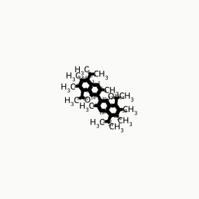 Cc1cc2c(C(C)C)c(C)c(C)c3c2c(c1-c1c(C)cc2c(C(C)C)c(C)c(C)c4c2c1OC4C)OC3C